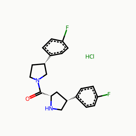 Cl.O=C([C@@H]1C[C@H](c2ccc(F)cc2)CN1)N1CC[C@H](c2ccc(F)cc2)C1